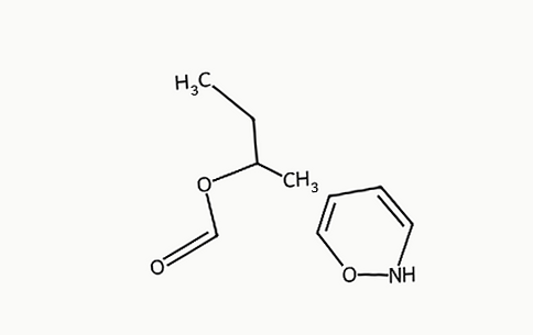 C1=CNOC=C1.CCC(C)OC=O